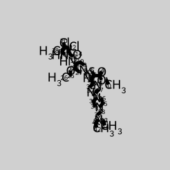 CCOC(=O)c1sc(N2CC[C@@H](NC(=O)c3[nH]c(C)c(Cl)c3Cl)[C@@H](OCC)C2)nc1-c1cnc(N2CCN(CCN(CC)CC)CC2)cn1